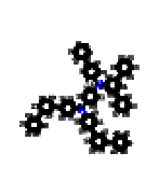 c1ccc(-c2ccc(N(c3ccc(N(c4ccc(-c5cccc(-c6ccccc6)c5)cc4)c4ccc(-c5cccc(-c6ccccc6)c5)cc4)cc3)c3cc(-c4ccccc4)cc(-c4ccccc4)c3)cc2)cc1